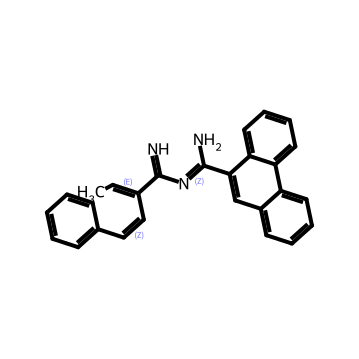 C/C=C(\C=C/c1ccccc1)C(=N)/N=C(\N)c1cc2ccccc2c2ccccc12